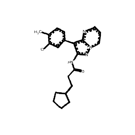 Cc1ccc(-c2c(NC(=O)CCC3CCCC3)nn3cccnc23)cc1Cl